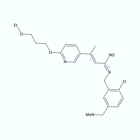 CCOCCCOc1ccc(/C(C)=C/C(N=O)=N\Cc2cc(CNC)ccc2Cl)cn1